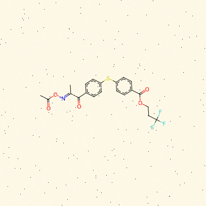 CC(=O)O/N=C(\C)C(=O)c1ccc(Sc2ccc(C(=O)OCCC(F)(F)F)cc2)cc1